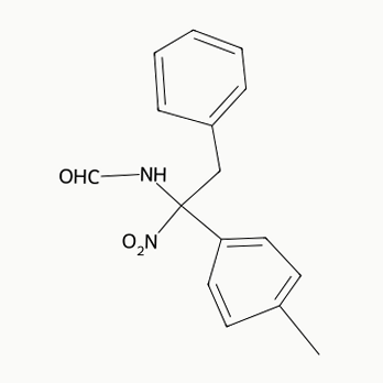 Cc1ccc(C(Cc2ccccc2)(NC=O)[N+](=O)[O-])cc1